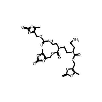 C=C1OC(C)=C(COC(=O)N(CCN)CCN(CCNC(=O)OCc2oc(=O)oc2C)C(=O)OCc2oc(=O)oc2C)O1